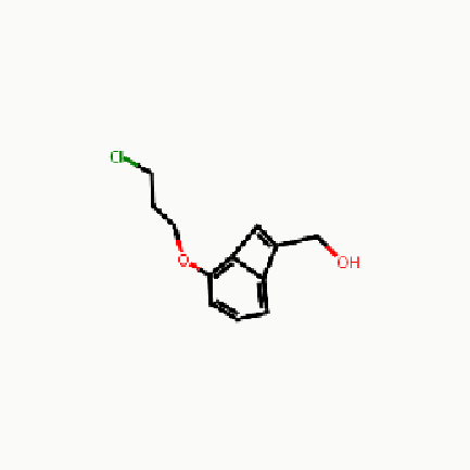 OCC1=Cc2c(OCCCCl)cccc21